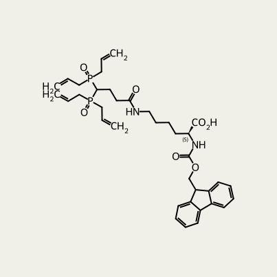 C=CCP(=O)(CC=C)C(CCC(=O)NCCCC[C@H](NC(=O)OCC1c2ccccc2-c2ccccc21)C(=O)O)P(=O)(CC=C)CC=C